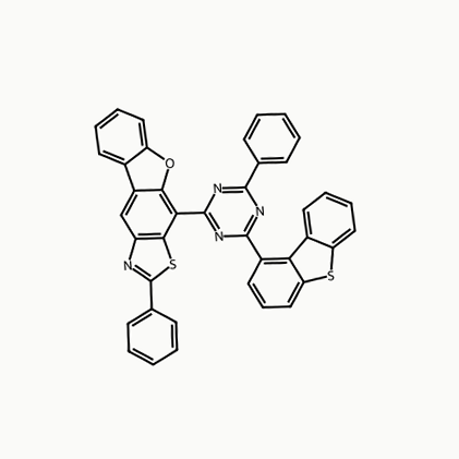 c1ccc(-c2nc(-c3c4oc5ccccc5c4cc4nc(-c5ccccc5)sc34)nc(-c3cccc4sc5ccccc5c34)n2)cc1